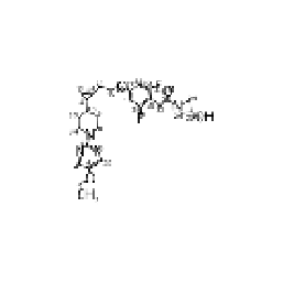 CCOc1cnc(N2CCC([C@H]3C[C@H]3CCOc3cc(F)c(CC(=O)N4CC(O)C4)c(F)c3)CC2)nc1